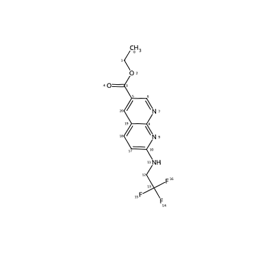 CCOC(=O)c1cnc2nc(NCC(F)(F)F)ccc2c1